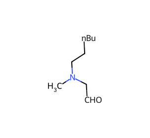 CCCCCCN(C)CC=O